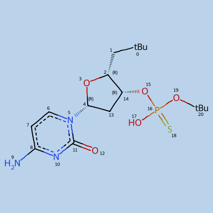 CC(C)(C)C[C@H]1O[C@@H](n2ccc(N)nc2=O)C[C@H]1OP(O)(=S)OC(C)(C)C